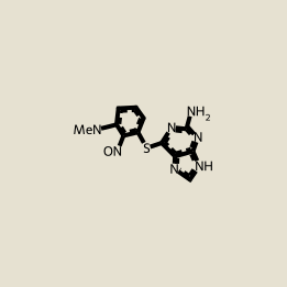 CNc1cccc(Sc2nc(N)nc3[nH]cnc23)c1N=O